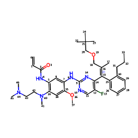 C=CC(=O)Nc1cc(Nc2ncc(F)c(/C(=C(/C)COCC(C)(C)C)c3ccccc3CCC)n2)c(OC)cc1N(C)CCN(C)C